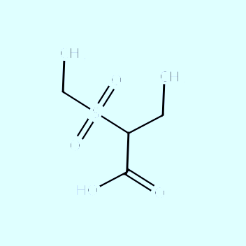 CCC(C(=O)O)S(=O)(=O)CC